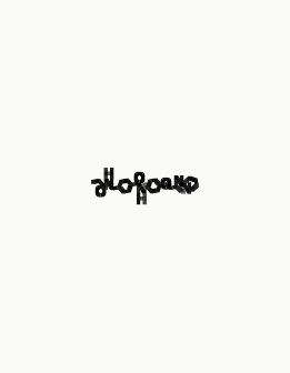 C=CC(=O)NCc1ccc(C(=O)Nc2ccc(OCc3cn4ccccc4n3)cc2)cc1